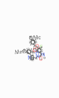 C/N=C(\C(=O)NCC12CCN(CC1)CC2)c1cc(F)c(OCc2ccc(OC)cc2)c(OCc2ccc(OC)cc2)c1